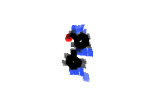 NC(=O)c1cccc(NCc2ccc(N)cc2)c1